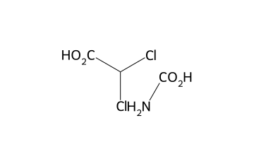 NC(=O)O.O=C(O)C(Cl)Cl